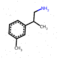 Cc1cccc(C(C)CN)c1